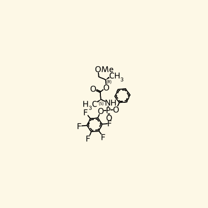 COC[C@@H](C)OC(=O)[C@H](C)NP(=O)(Oc1ccccc1)Oc1c(F)c(F)c(F)c(F)c1F